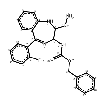 NNC1Nc2ccccc2C(c2ccccc2F)=NC1NC(=O)OCc1ccccc1